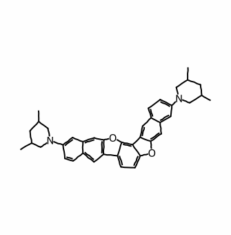 CC1CC(C)CN(c2ccc3cc4c(cc3c2)oc2c4ccc3oc4cc5cc(N6CC(C)CC(C)C6)ccc5cc4c32)C1